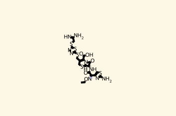 CCO/N=C(\C(=O)N[C@@H]1C(=O)N2C(C(=O)O)=C(CSc3nnc(SCC(=N)N)s3)CS[C@@H]12)c1csc(N)n1